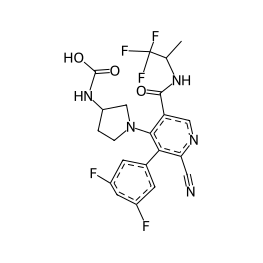 CC(NC(=O)c1cnc(C#N)c(-c2cc(F)cc(F)c2)c1N1CCC(NC(=O)O)C1)C(F)(F)F